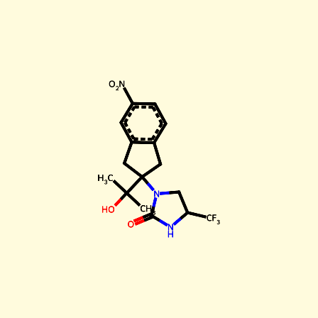 CC(C)(O)C1(N2CC(C(F)(F)F)NC2=O)Cc2ccc([N+](=O)[O-])cc2C1